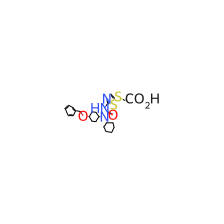 O=C(O)CSc1cnc(NC(=O)N(C2CCCCC2)C2CCC(OCc3ccccc3)CC2)s1